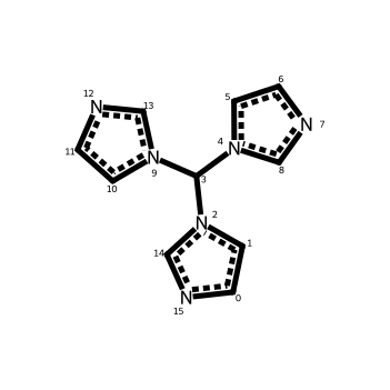 c1cn(C(n2ccnc2)n2ccnc2)cn1